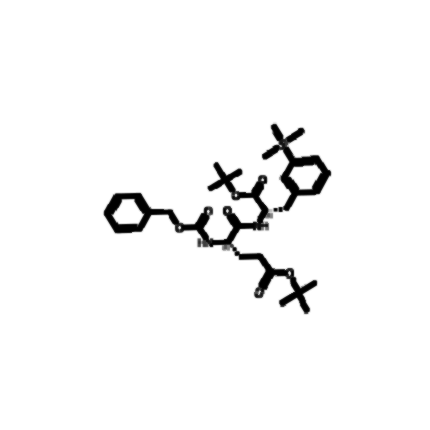 CC(C)(C)OC(=O)CC[C@H](NC(=O)OCc1ccccc1)C(=O)N[C@@H](Cc1cccc([Si](C)(C)C)c1)C(=O)OC(C)(C)C